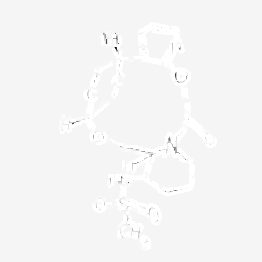 CS(=O)(=O)N[C@H]1CCCN2C(=O)COc3ncccc3[C@H]3CC[C@H](CC3)OC[C@@H]12